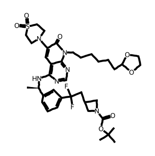 C[C@@H](Nc1ncnc2c1cc(N1CCS(=O)(=O)CC1)c(=O)n2CCCCCCC1OCCO1)c1cccc(C(F)(F)CC2CN(C(=O)OC(C)(C)C)C2)c1